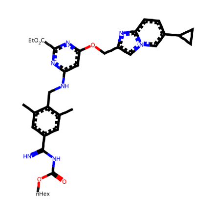 CCCCCCOC(=O)NC(=N)c1cc(C)c(CNc2cc(OCc3cn4cc(C5CC5)ccc4n3)nc(C(=O)OCC)n2)c(C)c1